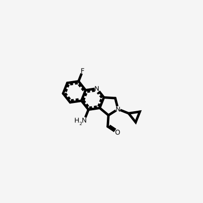 Nc1c2c(nc3c(F)cccc13)CN(C1CC1)C2C=O